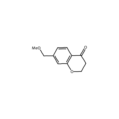 COCc1ccc2c(c1)OCCC2=O